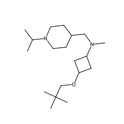 CC(C)N1CCC(CN(C)C2CC(OCC(C)(C)C)C2)CC1